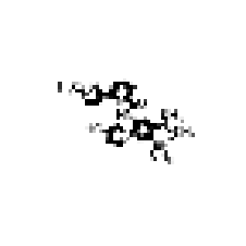 CNc1cc(N2CC[C@@H](O)C2)c(NC(=O)c2cccc(-c3ccn(C)n3)n2)cc1N(C)OC